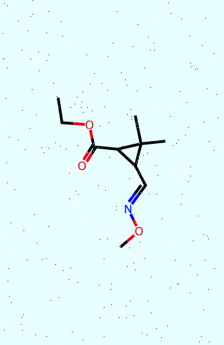 CCOC(=O)C1C(C=NOC)C1(C)C